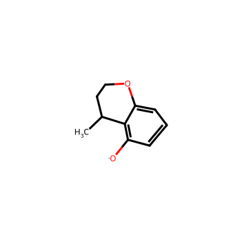 CC1CCOc2cccc([O])c21